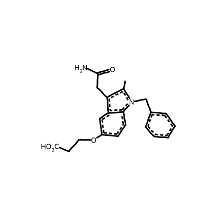 Cc1c(CC(N)=O)c2cc(OCCC(=O)O)ccc2n1Cc1ccccc1